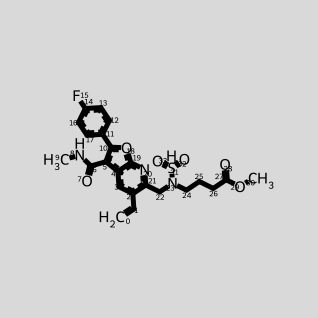 C=Cc1cc2c(C(=O)NC)c(-c3ccc(F)cc3)oc2nc1CN(CCCC(=O)OC)[SH](=O)=O